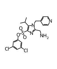 CC(C)c1c(S(=O)(=O)Oc2cc(Cl)cc(Cl)c2)nc(CN)n1Cc1ccncc1